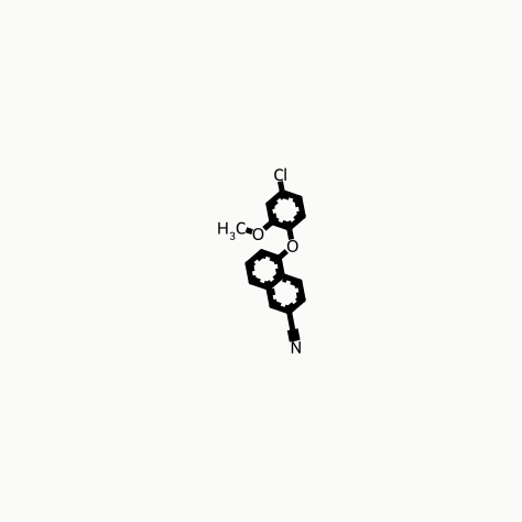 COc1cc(Cl)ccc1Oc1cccc2cc(C#N)ccc12